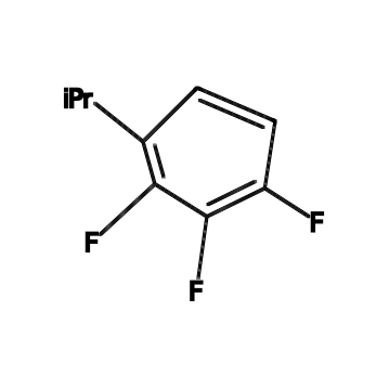 CC(C)c1ccc(F)c(F)c1F